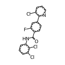 O=C(Nc1cccc(Cl)c1Cl)c1ccc(-c2ncccc2Cl)cc1F